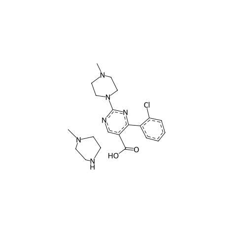 CN1CCN(c2ncc(C(=O)O)c(-c3ccccc3Cl)n2)CC1.CN1CCNCC1